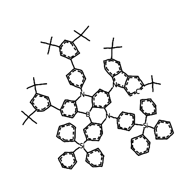 CC(C)(C)c1cc(-c2ccc(N3c4cc(-c5cc(C(C)(C)C)cc(C(C)(C)C)c5)ccc4B4c5cc([Si](c6ccccc6)(c6ccccc6)c6ccccc6)ccc5N(c5ccc([Si](c6ccccc6)(c6ccccc6)c6ccccc6)cc5)c5cc(-n6c7ccc(C(C)(C)C)cc7c7cc(C(C)(C)C)ccc76)cc3c54)cc2)cc(C(C)(C)C)c1